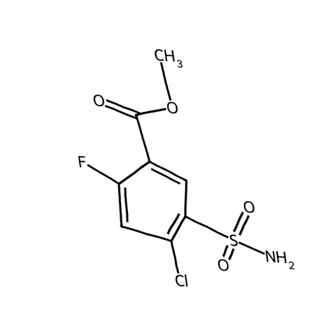 COC(=O)c1cc(S(N)(=O)=O)c(Cl)cc1F